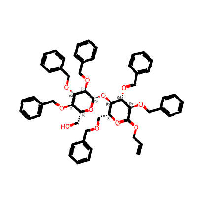 C=CCOC1O[C@H](COCc2ccccc2)[C@@H](O[C@@H]2O[C@H](CO)[C@@H](OCc3ccccc3)[C@H](OCc3ccccc3)[C@H]2OCc2ccccc2)[C@H](OCc2ccccc2)[C@H]1OCc1ccccc1